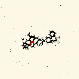 CCc1cc(C[C@@H](OC(=O)N2CCC3(CC2)CC(=O)Nc2ccccc23)C(=O)N2CCN(C3CN4CCC3CC4)CC2)cc(Cl)c1N